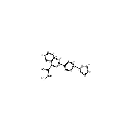 NNC(=O)c1cc(-c2ccc(-c3cccnc3)cc2)nc2ccncc12